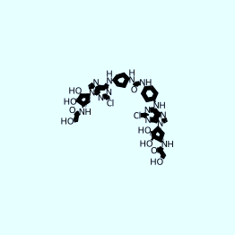 O=C(CO)N[C@H]1C[C@@H](n2cnc3c(N[C@H]4CC[C@H](NC(=O)N[C@H]5CC[C@H](Nc6nc(Cl)nc7c6ncn7[C@@H]6C[C@H](NC(=O)CO)[C@@H](O)[C@H]6O)CC5)CC4)nc(Cl)nc32)[C@H](O)[C@@H]1O